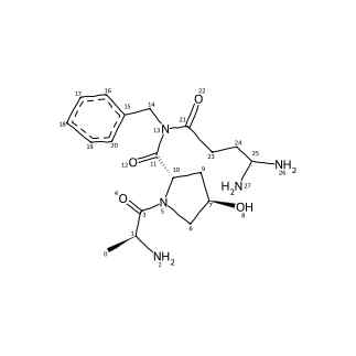 C[C@H](N)C(=O)N1C[C@H](O)C[C@H]1C(=O)N(Cc1ccccc1)C(=O)CCC(N)N